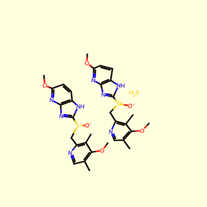 COc1ccc2[nH]c([S+]([O-])Cc3ncc(C)c(OC)c3C)nc2n1.COc1ccc2[nH]c([S+]([O-])Cc3ncc(C)c(OC)c3C)nc2n1.S